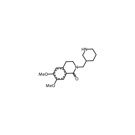 COc1cc2c(cc1OC)C(=O)N(CC1CCCNC1)CC2